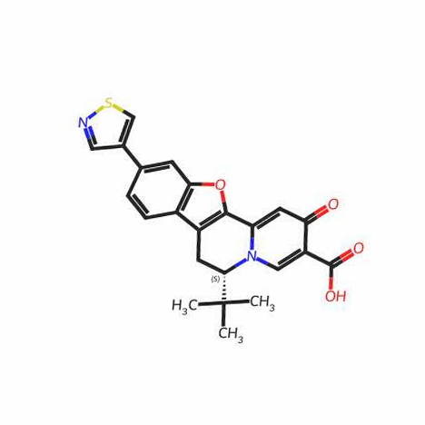 CC(C)(C)[C@@H]1Cc2c(oc3cc(-c4cnsc4)ccc23)-c2cc(=O)c(C(=O)O)cn21